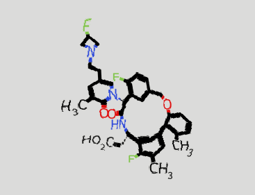 Cc1cc2cc(c1F)[C@H](CC(=O)O)NC(=O)[C@H](n1cc(CCN3CC(F)C3)cc(C)c1=O)c1cc(ccc1F)COc1cccc(C)c1-2